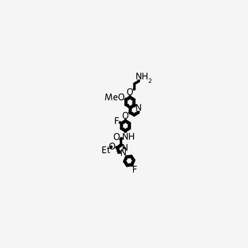 CCOc1cn(-c2ccc(F)cc2)nc1C(=O)Nc1ccc(Oc2ccnc3cc(OCCCN)c(OC)cc23)c(F)c1